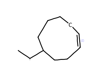 C[CH]C1CC/C=C\CCCC1